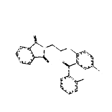 O=C(c1ccccc1F)c1cc(Cl)ccc1OCCN1C(=O)c2ccccc2C1=O